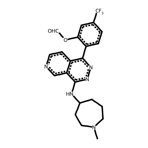 CN1CCCC(Nc2nnc(-c3ccc(C(F)(F)F)cc3OC=O)c3ccncc23)CC1